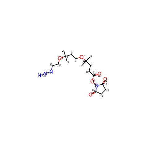 CC(C)(CCOC(C)(C)CCC(=O)ON1C(=O)CCC1=O)OCCN=[N+]=[N-]